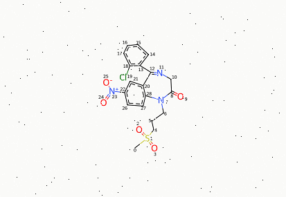 CS(=O)(=O)CCCN1C(=O)CN=C(c2ccccc2Cl)c2cc([N+](=O)[O-])ccc21